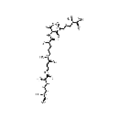 CC(O)C(NC(=O)C(N)CCCN(O)C(=O)CCNC(=O)C(N)CCCN(O)C=O)C(=O)N(O)CCCC(N)C(=O)O